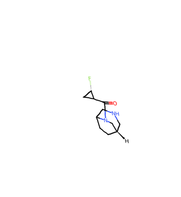 O=C(C1C[C@@H]1F)N1C[C@H]2CCC1CNC2